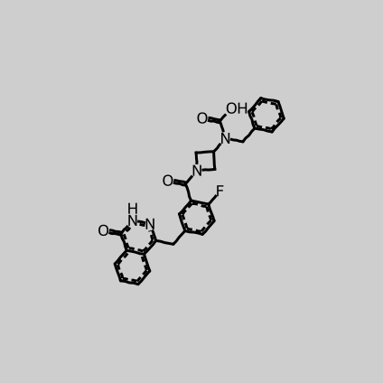 O=C(c1cc(Cc2n[nH]c(=O)c3ccccc23)ccc1F)N1CC(N(Cc2ccccc2)C(=O)O)C1